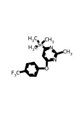 Cc1nc(Oc2ccc(C(F)(F)F)cc2)c[c]([Sn]([CH3])([CH3])[CH3])n1